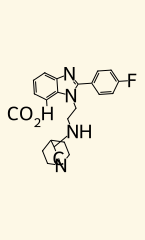 O=C(O)c1cccc2nc(-c3ccc(F)cc3)n(CCNC3CN4CCC3CC4)c12